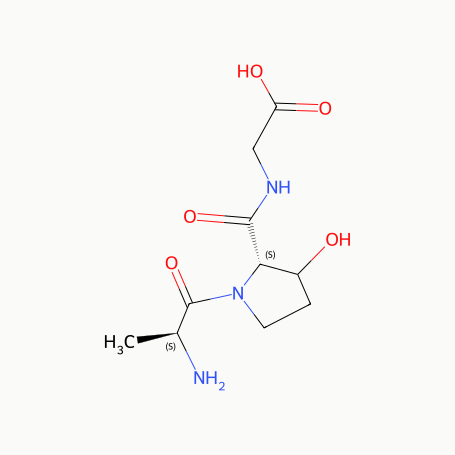 C[C@H](N)C(=O)N1CCC(O)[C@H]1C(=O)NCC(=O)O